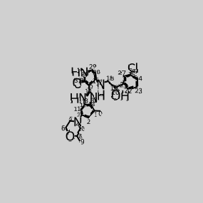 Cc1cc(N2CCOC(C)C2)cc2[nH]c(-c3c(NC[C@@H](O)c4cccc(Cl)c4)cc[nH]c3=O)nc12